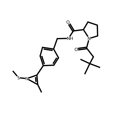 CSN1C(C)=C1c1ccc(CNC(=O)C2CCCN2C(=O)CC(C)(C)C)cc1